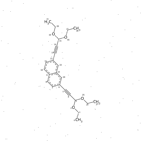 CCOC(C#Cc1ccc2ccc(C#CC(OCC)OCC)cc2c1)OCC